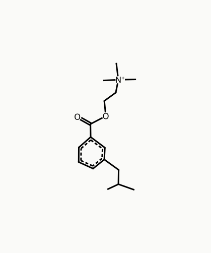 CC(C)Cc1cccc(C(=O)OCC[N+](C)(C)C)c1